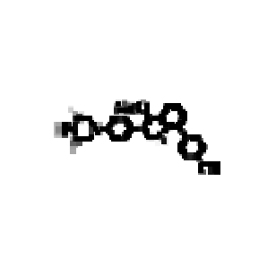 COc1c(-c2ccc(N3C[C@@H](C)N[C@@H](C)C3)cc2)cnc2c(-c3ccc(C#N)cc3)cccc12